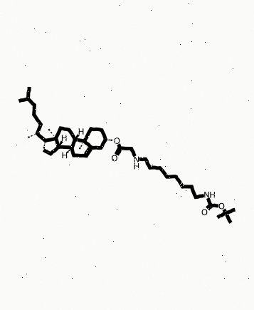 CC(C)CCC[C@@H](C)[C@H]1CC[C@H]2[C@@H]3CC=C4C[C@@H](OC(=O)CNCCCCCCCCNC(=O)OC(C)(C)C)CC[C@]4(C)[C@H]3CC[C@]12C